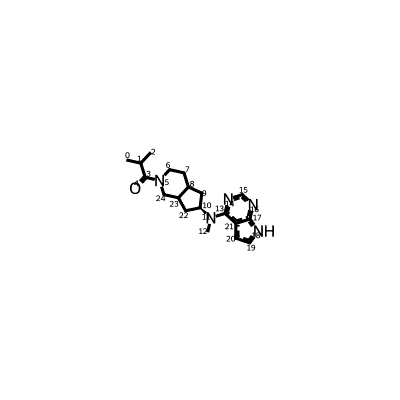 CC(C)C(=O)N1CCC2C[C@@H](N(C)c3ncnc4[nH]ccc34)CC2C1